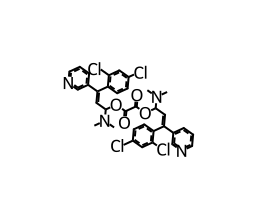 CN(C)C(/C=C(/c1cccnc1)c1ccc(Cl)cc1Cl)OC(=O)C(=O)OC(/C=C(/c1cccnc1)c1ccc(Cl)cc1Cl)N(C)C